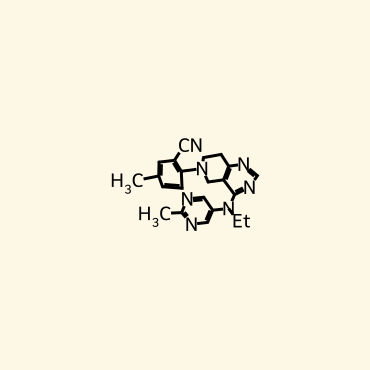 CCN(c1cnc(C)nc1)c1ncnc2c1CN(c1ccc(C)cc1C#N)CC2